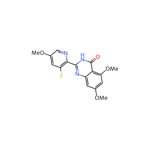 COc1cnc(-c2nc3cc(OC)cc(OC)c3c(=O)[nH]2)c(F)c1